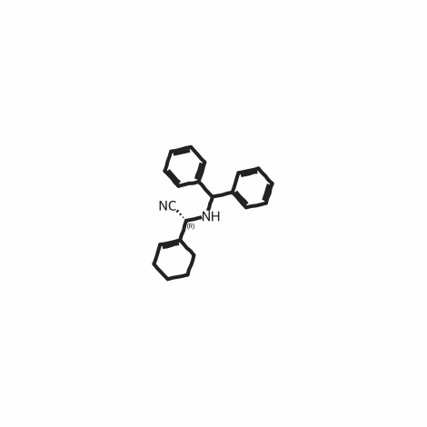 N#C[C@H](NC(c1ccccc1)c1ccccc1)C1=CCCCC1